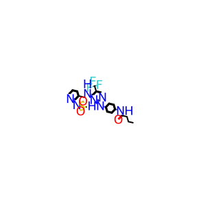 CCCC(=O)Nc1ccc(Nc2ncc(C(F)(F)F)c(NCc3cccnc3N(C)S(C)(=O)=O)n2)cc1